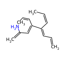 C=C/C=C(\C=C/C)C(/C=C\C)=C/C(=C)N